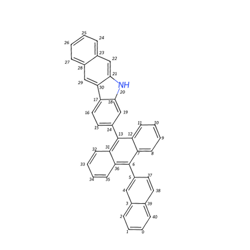 c1ccc2cc(-c3c4ccccc4c(-c4ccc5c(c4)[nH]c4cc6ccccc6cc45)c4ccccc34)ccc2c1